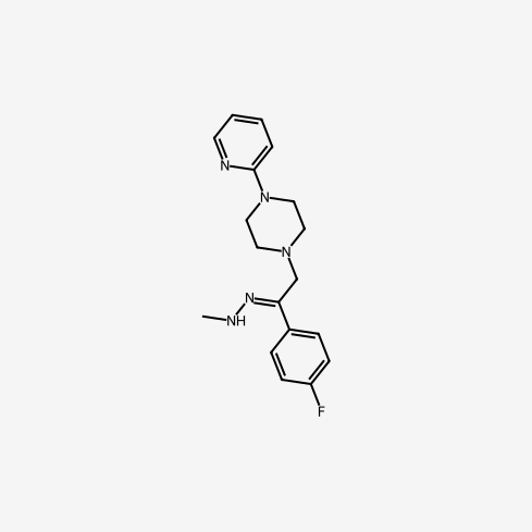 CNN=C(CN1CCN(c2ccccn2)CC1)c1ccc(F)cc1